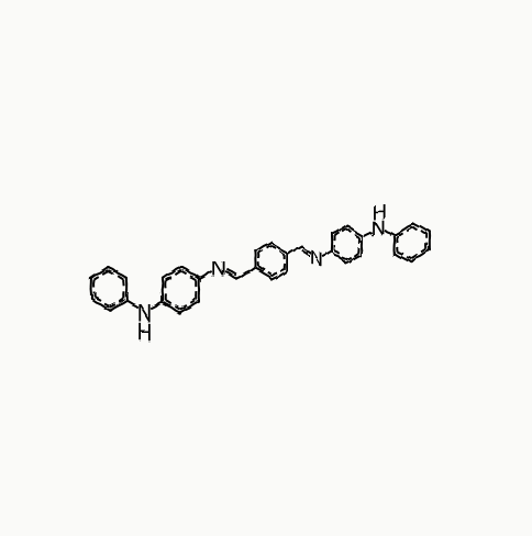 C(=Nc1ccc(Nc2ccccc2)cc1)c1ccc(C=Nc2ccc(Nc3ccccc3)cc2)cc1